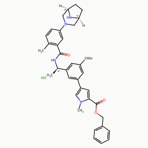 COc1cc(-c2cc(C(=O)OCc3ccccc3)n(C)c2)cc([C@@H](C)NC(=O)c2cc(N3C[C@H]4CC[C@@H](C3)N4)ccc2C)c1.Cl